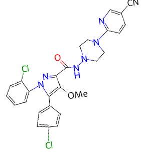 COc1c(C(=O)NN2CCN(c3ccc(C#N)cn3)CC2)nn(-c2ccccc2Cl)c1-c1ccc(Cl)cc1